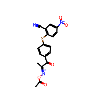 CC(=O)O/N=C(\C)C(=O)c1ccc(Sc2ccc([N+](=O)[O-])cc2C#N)cc1